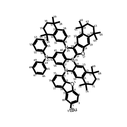 CC(C)(C)c1ccc2oc3c(N4c5cc6c(cc5B5c7oc8cc9c(cc8c7N(c7ccc8c(c7)C(C)(C)CCC8(C)C)c7cc(N(c8ccccc8)c8ccccc8)cc4c75)C(C)(C)CCC9(C)C)C(C)(C)CCC6(C)C)cccc3c2c1